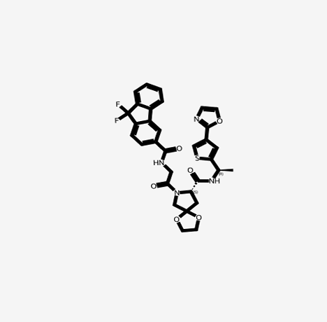 C[C@@H](NC(=O)[C@@H]1CC2(CN1C(=O)CNC(=O)c1ccc3c(c1)-c1ccccc1C3(F)F)OCCO2)c1cc(-c2ncco2)cs1